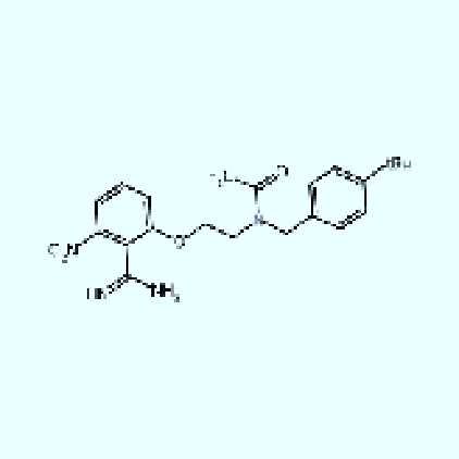 CC(C)(C)c1ccc(CN(CCOc2cccc([N+](=O)[O-])c2C(=N)N)C(=O)C(F)(F)F)cc1